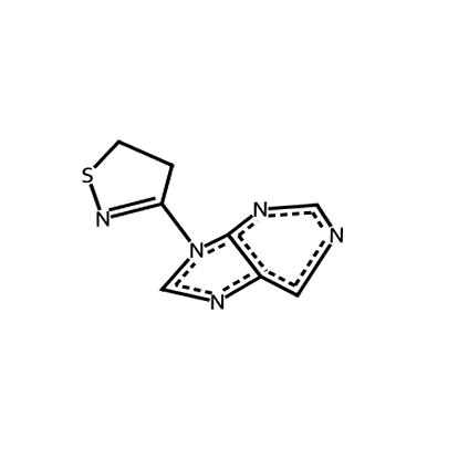 c1ncc2ncn(C3=NSCC3)c2n1